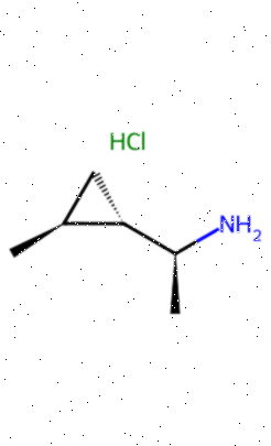 C[C@H](N)[C@H]1C[C@@H]1C.Cl